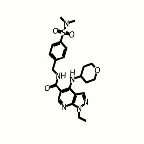 CCn1ncc2c(NC3CCOCC3)c(C(=O)NCc3ccc(S(=O)(=O)N(C)C)cc3)cnc21